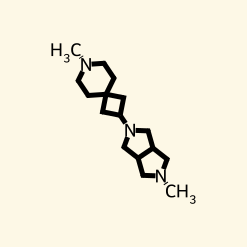 CN1CCC2(CC1)CC(N1CC3CN(C)CC3C1)C2